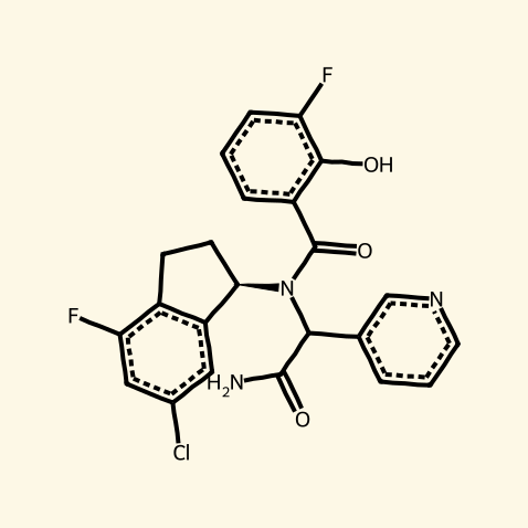 NC(=O)C(c1cccnc1)N(C(=O)c1cccc(F)c1O)[C@@H]1CCc2c(F)cc(Cl)cc21